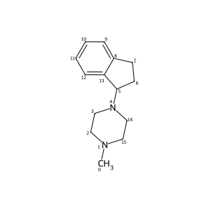 CN1CCN(C2C[CH]c3ccccc32)CC1